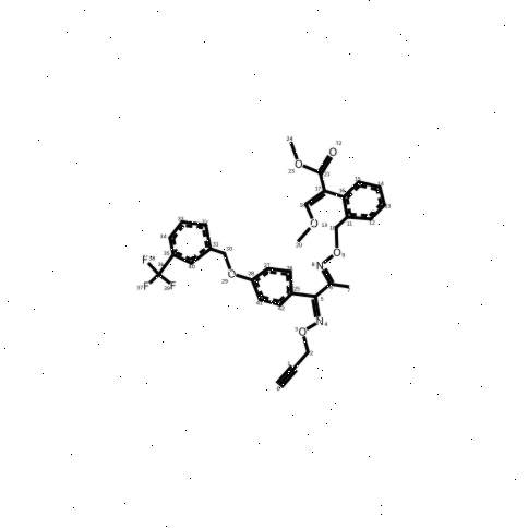 C#CCO/N=C(/C(C)=N/OCc1ccccc1/C(=C\OC)C(=O)OC)c1ccc(OCc2cccc(C(F)(F)F)c2)cc1